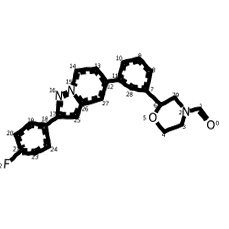 O=CN1CCOC(c2cccc(-c3ccn4nc(-c5ccc(F)cc5)cc4c3)c2)C1